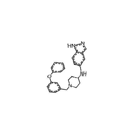 c1ccc(Oc2cccc(CN3CCC(Nc4ccc5[nH]ncc5c4)CC3)c2)cc1